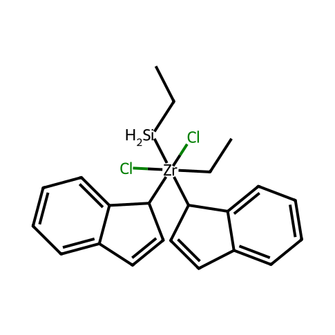 CC[SiH2][Zr]([Cl])([Cl])([CH2]C)([CH]1C=Cc2ccccc21)[CH]1C=Cc2ccccc21